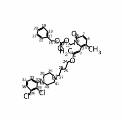 C/C(=C\c1c(C)ccc(=O)n1COC(=O)OCc1ccccc1)OCCCCN1CCN(c2cccc(Cl)c2Cl)CC1